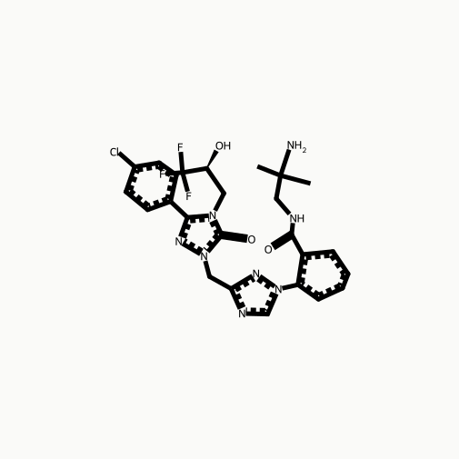 CC(C)(N)CNC(=O)c1ccccc1-n1cnc(Cn2nc(-c3ccc(Cl)cc3)n(C[C@H](O)C(F)(F)F)c2=O)n1